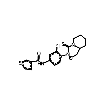 O=C(Nc1ccc(N2OCC3CCCCN3C2=S)c(Cl)c1)c1ccsc1